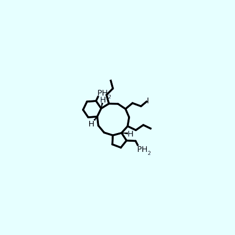 CCCC1CC(CCI)CC(CCC)[C@H]2C(P)CCC[C@H]2CCC2CCC(CP)[C@H]21